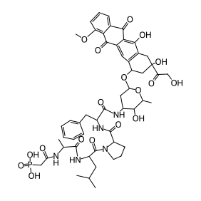 COc1cccc2c1C(=O)c1cc3c(c(O)c1C2=O)CC(O)(C(=O)CO)CC3OC1CC(NC(=O)C(Cc2ccccc2)NC(=O)C2CCCN2C(=O)C(CC(C)C)NC(=O)C(C)NC(=O)CP(=O)(O)O)C(O)C(C)O1